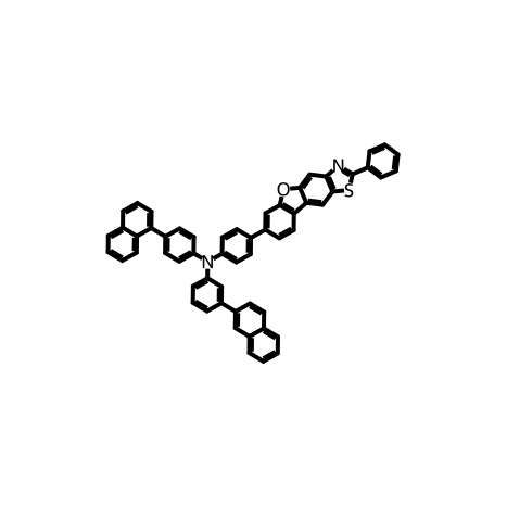 c1ccc(-c2nc3cc4oc5cc(-c6ccc(N(c7ccc(-c8cccc9ccccc89)cc7)c7cccc(-c8ccc9ccccc9c8)c7)cc6)ccc5c4cc3s2)cc1